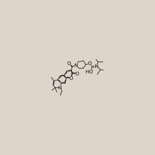 CCN1c2cc3oc(=O)c(C(=O)N4CCC(OP(O)N(C(C)C)C(C)C)CC4)cc3cc2C(C)=CC1(C)C